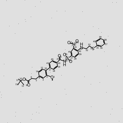 COc1cc(CCC(=O)OC(C)(C)C)ccc1-c1ccc(C(=O)NS(=O)(=O)c2ccc(NCCSc3ccccc3)c([N+](=O)[O-])c2)cc1